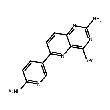 CCCc1nc(N)nc2ccc(-c3ccc(NC(C)=O)nc3)nc12